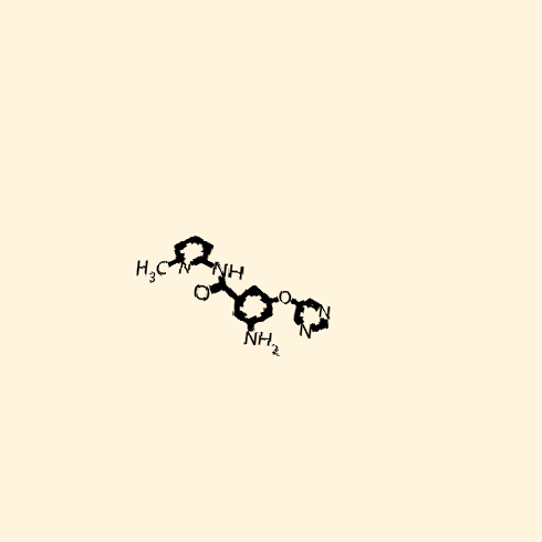 Cc1cccc(NC(=O)c2cc(N)cc(Oc3cncnc3)c2)n1